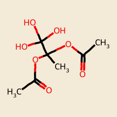 CC(=O)OC(C)(OC(C)=O)C(O)(O)O